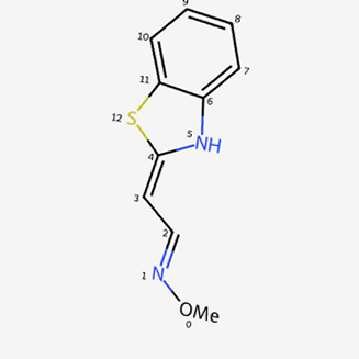 CO/N=C/C=C1\Nc2ccccc2S1